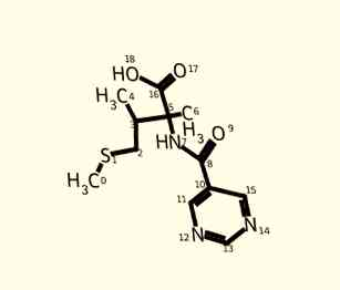 CSCC(C)C(C)(NC(=O)c1cncnc1)C(=O)O